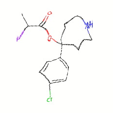 CC(I)C(=O)OC1(c2ccc(Cl)cc2)CCNCC1